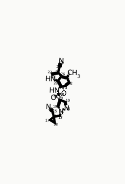 Cc1ccc(NS(=O)(=O)c2cnn(CC3(C#N)CC3)c2)c2[nH]cc(C#N)c12